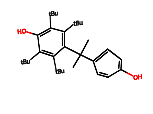 CC(C)(C)c1c(O)c(C(C)(C)C)c(C(C)(C)C)c(C(C)(C)c2ccc(O)cc2)c1C(C)(C)C